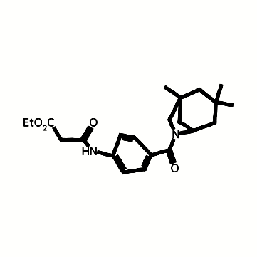 CCOC(=O)CC(=O)Nc1ccc(C(=O)N2CC3(C)CC2CC(C)(C)C3)cc1